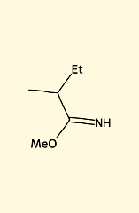 CCC(C)C(=N)OC